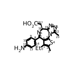 CCc1c(C)sc2c1C(c1ccc(N)cc1)=N[C@@H](CC(=O)O)c1nnc(C)n1-2